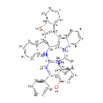 c1ccc(-n2c3ccccc3c3c4c5ccccc5sc4c4c5ccccc5n(-c5nc6c7c(cccc7n5)Oc5ccccc5-6)c4c32)cc1